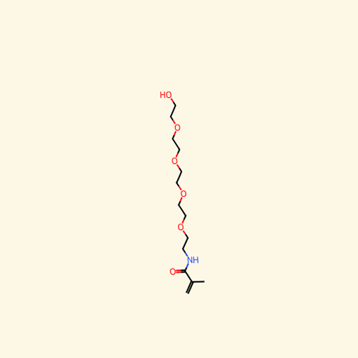 C=C(C)C(=O)NCCOCCOCCOCCOCCO